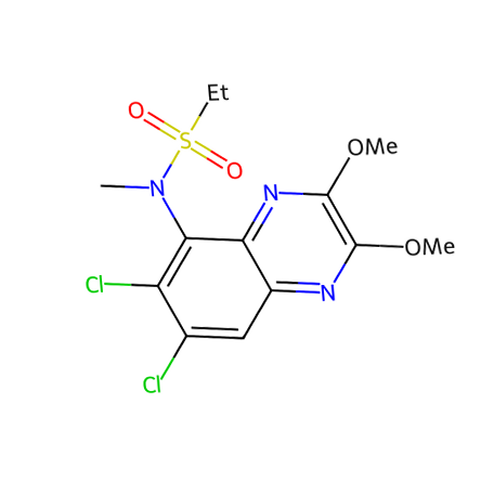 CCS(=O)(=O)N(C)c1c(Cl)c(Cl)cc2nc(OC)c(OC)nc12